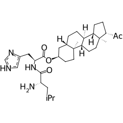 CC(=O)[C@H]1CC[C@H]2[C@@H]3CC[C@H]4C[C@H](OC(=O)[C@H](Cc5c[nH]cn5)NC(=O)[C@@H](N)CC(C)C)CC[C@]4(C)[C@H]3CC[C@]12C